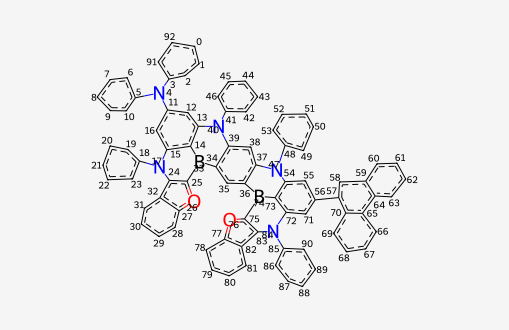 c1ccc(N(c2ccccc2)c2cc3c4c(c2)N(c2ccccc2)c2c(oc5ccccc25)B4c2cc4c(cc2N3c2ccccc2)N(c2ccccc2)c2cc(-c3cc5ccccc5c5ccccc35)cc3c2B4c2oc4ccccc4c2N3c2ccccc2)cc1